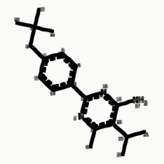 Cc1nc(-c2ccc(CC(C)(C)C)cc2)nc(N)c1C(C)C